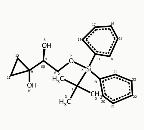 CC(C)(C)[Si](OC[C@H](O)C1(O)CC1)(c1ccccc1)c1ccccc1